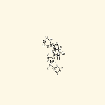 CC1CN([C@@H](C)c2ccccc2)CC1c1nn2c(C3CCOCC3)ncc2c(=O)[nH]1